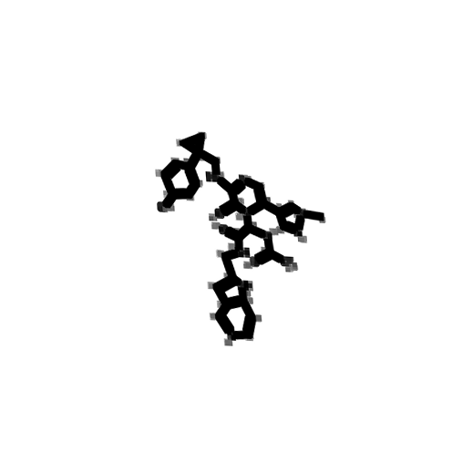 Cn1cc(-c2cnc(NCC3(c4ccc(Cl)cc4)CC3)c(=O)n2C(OC(=O)C(F)(F)F)C(=O)NCc2cc3cnccc3[nH]2)cn1